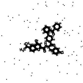 CC(C)c1ccc2oc(C(=O)N[C@H](Cc3ccc(Cl)cc3)C(=O)N3CCN(c4ccccc4C(=O)N4CCCCC4)CC3)cc(=O)c2c1